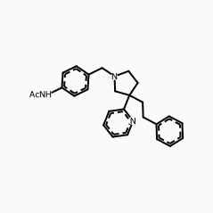 CC(=O)Nc1ccc(CN2CCC(CCc3ccccc3)(c3ccccn3)C2)cc1